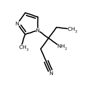 CCC(N)(CC#N)n1ccnc1C